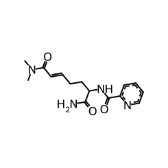 CN(C)C(=O)C=CCCC(NC(=O)c1ccccn1)C(N)=O